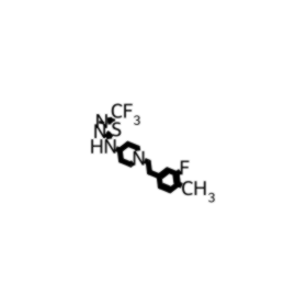 Cc1ccc(CCN2CCC(Nc3nnc(C(F)(F)F)s3)CC2)cc1F